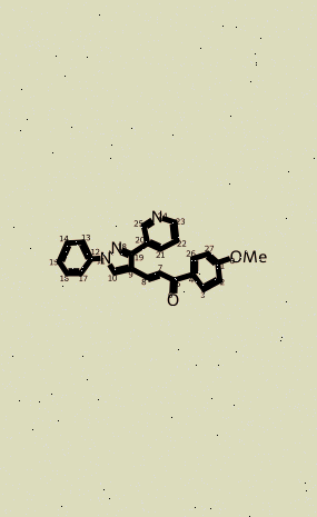 COc1ccc(C(=O)C=Cc2cn(-c3ccccc3)nc2-c2cccnc2)cc1